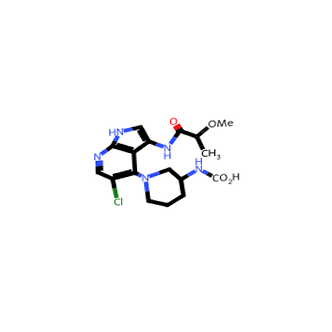 COC(C)C(=O)Nc1c[nH]c2ncc(Cl)c(N3CCCC(NC(=O)O)C3)c12